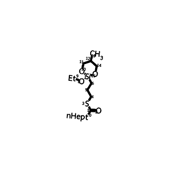 CCCCCCCC(=O)SCCC[Si]1(OCC)OCC(C)CO1